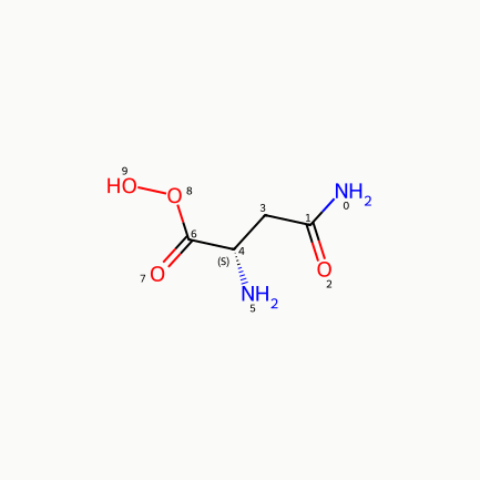 NC(=O)C[C@H](N)C(=O)OO